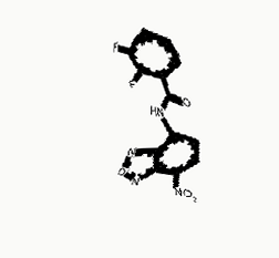 O=C(Nc1ccc([N+](=O)[O-])c2nonc12)c1cccc(F)c1F